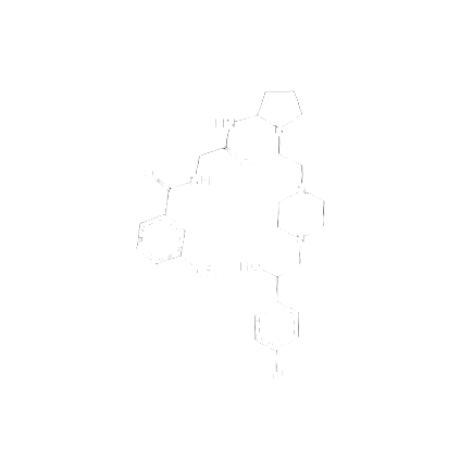 O=C(CNC(=O)c1cccc(C(F)(F)F)c1)NC1CCCN1CCN1CCN(CC(O)c2ccc(Cl)cc2)CC1